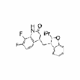 CC(C)C1Oc2ccccc2C1Cc1cc(=O)[nH]c2c(F)c(F)ccc12